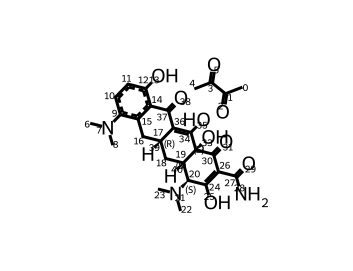 CC(=O)C(C)=O.CN(C)c1ccc(O)c2c1C[C@H]1C[C@H]3[C@H](N(C)C)C(O)=C(C(N)=O)C(=O)[C@@]3(O)C(O)=C1C2=O